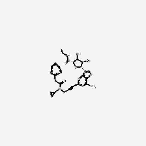 CCNC(=O)[C@H]1O[C@@H](n2cnc3c(N)nc(C#CCN(C(=O)Cc4ccccc4)C4CC4)nc32)[C@H](O)C1O